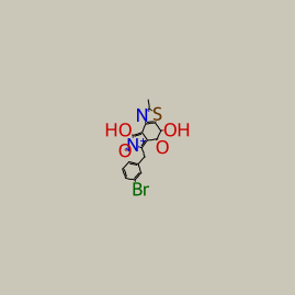 Cc1nc2c(s1)C(O)C(=O)C1=C(Cc3cccc(Br)c3)[N+](=O)C(O)=C12